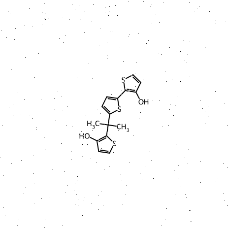 CC(C)(c1ccc(-c2sccc2O)s1)c1sccc1O